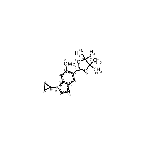 COc1cc2c(cc1B1OC(C)(C)C(C)(C)O1)ncn2C1CC1